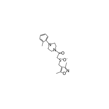 Cc1ccccc1N1CCN(C(=O)C[S+]([O-])Cc2c(C)noc2C)CC1